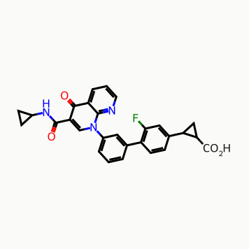 O=C(NC1CC1)c1cn(-c2cccc(-c3ccc(C4CC4C(=O)O)cc3F)c2)c2ncccc2c1=O